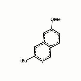 COc1ccc2cnc(C(C)(C)C)cc2c1